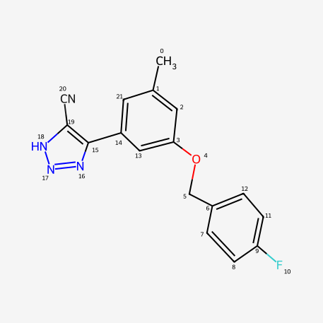 Cc1cc(OCc2ccc(F)cc2)cc(-c2nn[nH]c2C#N)c1